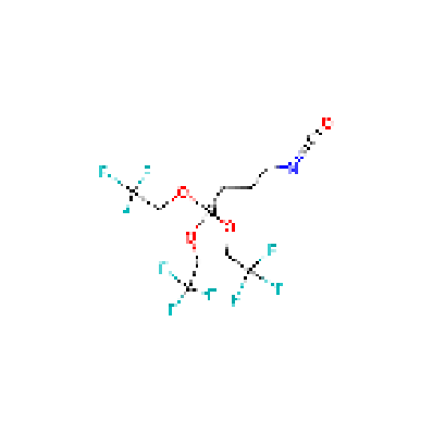 O=C=NCCC[Si](OCC(F)(F)F)(OCC(F)(F)F)OCC(F)(F)F